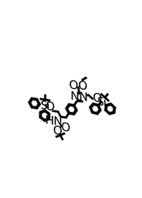 CCOC(=O)c1nc(-c2ccc(CC(CCO[Si](c3ccccc3)(c3ccccc3)C(C)(C)C)NC(=O)OC(C)(C)C)cc2)cn1CCO[Si](c1ccccc1)(c1ccccc1)C(C)(C)C